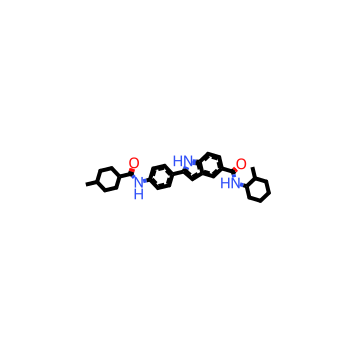 CC1CCC(C(=O)Nc2ccc(-c3cc4cc(C(=O)NC5CCCCC5C)ccc4[nH]3)cc2)CC1